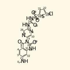 CNc1ccc2c(=O)n(-c3cnc(NC(=O)NS(=O)(=O)c4ccc(Cl)s4)cn3)c(=O)[nH]c2c1